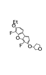 CCOc1ccc2c(oc3c(F)c(OC4CCOC4)ccc32)c1F